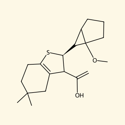 C=C(O)C1C2=C(CCC(C)(C)C2)S[C@H]1C1C2CCCC21OC